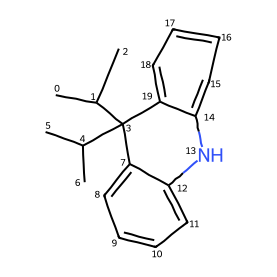 CC(C)C1(C(C)C)c2ccccc2Nc2ccccc21